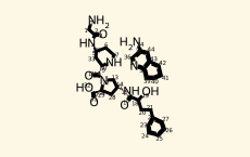 NCC(=O)N[C@H]1CCN[C@H](C(=O)N2C[C@H](NC(=O)C(O)CCc3ccccc3)C[C@H]2C(=O)O)C1.Nc1cnc2ccccc2c1